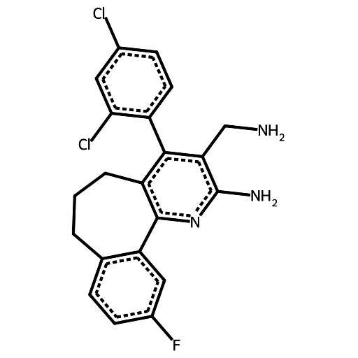 NCc1c(N)nc2c(c1-c1ccc(Cl)cc1Cl)CCCc1ccc(F)cc1-2